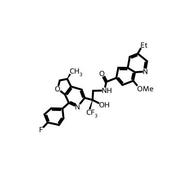 CCc1cnc2c(OC)cc(C(=O)NC[C@](O)(c3cc4c(c(-c5ccc(F)cc5)n3)OC[C@H]4C)C(F)(F)F)cc2c1